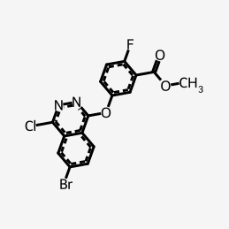 COC(=O)c1cc(Oc2nnc(Cl)c3cc(Br)ccc23)ccc1F